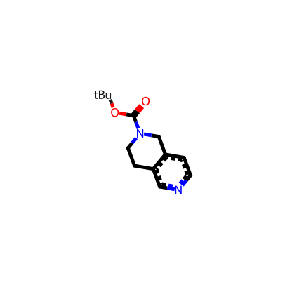 CC(C)(C)OC(=O)N1CCc2cnccc2C1